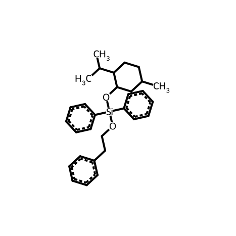 CC1CCC(C(C)C)C(O[Si](OCCc2ccccc2)(c2ccccc2)c2ccccc2)C1